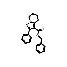 O=C(OCc1ccccc1)c1c(-c2ccccc2)nn2c1CCCC2